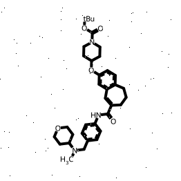 CN(Cc1ccc(NC(=O)C2=Cc3cc(OC4CCN(C(=O)OC(C)(C)C)CC4)ccc3CCC2)cc1)C1CCOCC1